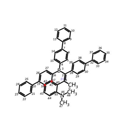 C/C(=C(/B(c1ccc(-c2ccccc2)cc1)c1ccc(-c2ccccc2)cc1)c1ccc(-c2ccccc2)cc1)c1ccccc1N(C)C